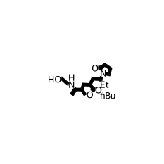 C=C(NCCO)C(C)CC(CC(CC)N1CCCC1=O)C(=O)OCCCC